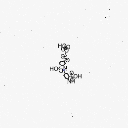 CNc1ccc(/N=N/c2cc(S(=O)(=O)CCOS(=O)(=O)O)ccc2C(=O)O)cc1S(=O)(=O)O